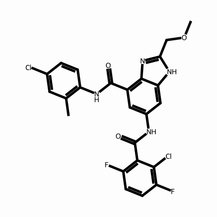 COCc1nc2c(C(=O)Nc3ccc(Cl)cc3C)cc(NC(=O)c3c(F)ccc(F)c3Cl)cc2[nH]1